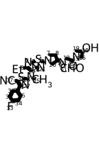 CCc1nc2sc(N3CCC(N(C=O)CC(=O)N4CC(O)C4)C3)nn2c1N(C)c1nc(-c2ccc(F)cc2)c(C#N)s1